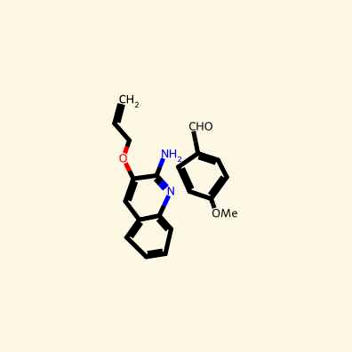 C=CCOc1cc2ccccc2nc1N.COc1ccc(C=O)cc1